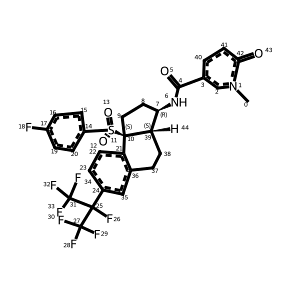 Cn1cc(C(=O)N[C@@H]2CC[C@@]3(S(=O)(=O)c4ccc(F)cc4)c4ccc(C(F)(C(F)(F)F)C(F)(F)F)cc4CC[C@@H]23)ccc1=O